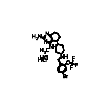 CNc1nc(N)nc2c1C([C@H]1CC[C@@H](NCc3ccc(Br)cc3OC(F)(F)F)CC1)CCC2.Cl.Cl